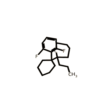 CCCC1(C2(c3c(F)cccc3F)CCCCC2)CCCCC1